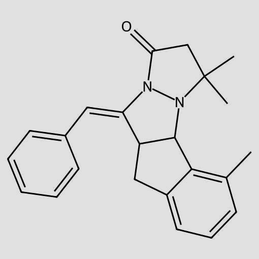 Cc1cccc2c1C1C(C2)/C(=C\c2ccccc2)N2C(=O)CC(C)(C)N12